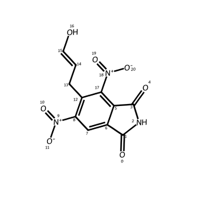 O=C1NC(=O)c2c1cc([N+](=O)[O-])c(CC=CO)c2[N+](=O)[O-]